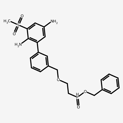 CS(=O)(=O)c1cc(N)cc(-c2cccc(COCC[PH](=O)OCc3ccccc3)c2)c1N